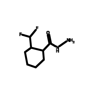 NNC(=O)C1CCCCC1C(F)F